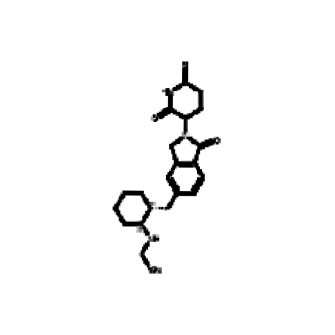 CC(C)(C)CN[C@H]1CCCC[C@@H]1Cc1ccc2c(c1)CN(C1CCC(=O)NC1=O)C2=O